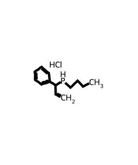 C=CC(PCCCC)c1ccccc1.Cl